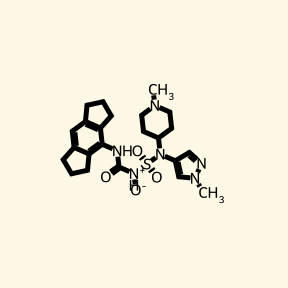 CN1CCC(N(c2cnn(C)c2)S(=O)(=O)[NH+]([O-])C(=O)Nc2c3c(cc4c2CCC4)CCC3)CC1